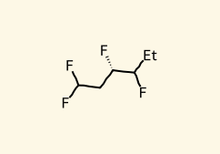 [CH2]CC(F)[C@@H](F)CC(F)F